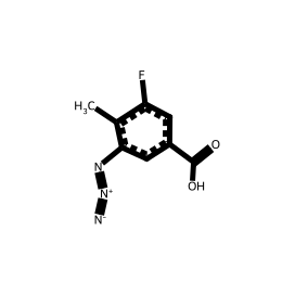 Cc1c(F)cc(C(=O)O)cc1N=[N+]=[N-]